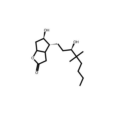 CCCCC(C)(C)[C@H](O)CC[C@@H]1C2CC(=O)OC2C[C@H]1O